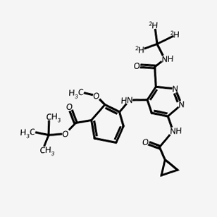 [2H]C([2H])([2H])NC(=O)c1nnc(NC(=O)C2CC2)cc1Nc1cccc(C(=O)OC(C)(C)C)c1OC